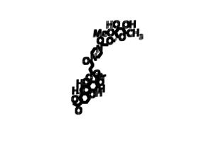 CO[C@H]1[C@H](O)[C@@H](O)C(C)O[C@@H]1COCC(=O)N1CCN(C(=O)CCC(=O)O[C@@H]2[C@@]3(C(C)C)O[C@H]3[C@@H]3O[C@]34[C@]23O[C@H]3CC2C3=C(CC[C@@]24C)C(=O)CO3)CC1